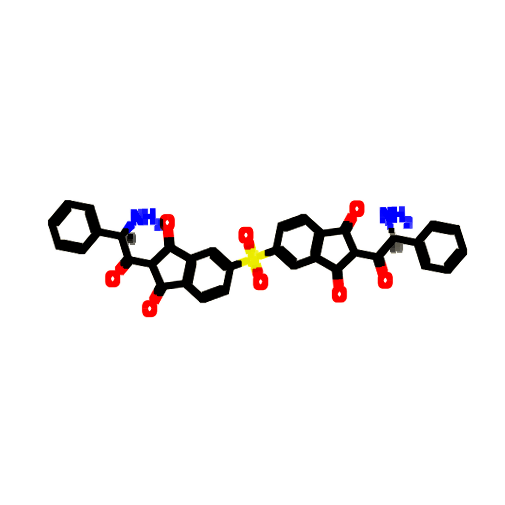 N[C@@H](C(=O)C1C(=O)c2ccc(S(=O)(=O)c3ccc4c(c3)C(=O)C(C(=O)[C@H](N)c3ccccc3)C4=O)cc2C1=O)c1ccccc1